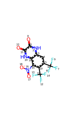 O=c1[nH]c2cc(C(F)(F)F)c(C(F)(F)F)c([N+](=O)[O-])c2[nH]c1=O